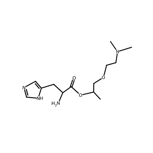 CC(COCCN(C)C)OC(=O)C(N)Cc1cnc[nH]1